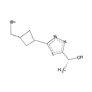 C[C@@H](O)c1nnc(C2CC(CC(C)(C)C)C2)s1